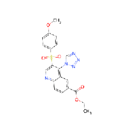 CCOC(=O)c1ccc2ncc(S(=O)(=O)c3ccc(OC)cc3)c(-n3cnnn3)c2c1